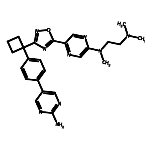 CN(C)CCN(C)c1cnc(-c2nc(C3(c4ccc(-c5cnc(N)nc5)cc4)CCC3)no2)cn1